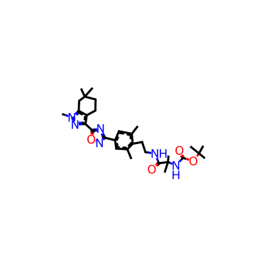 Cc1cc(-c2noc(-c3nn(C)c4c3CCC(C)(C)C4)n2)cc(C)c1CCNC(=O)C(C)(C)NC(=O)OC(C)(C)C